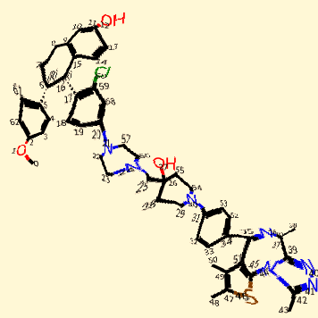 COc1ccc([C@@H]2CCc3cc(O)ccc3[C@@H]2c2ccc(N3CCN(CC4(O)CCN(c5ccc(C6=N[C@@H](C)c7nnc(C)n7-c7sc(C)c(C)c76)cc5)CC4)CC3)cc2Cl)cc1